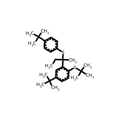 CCC(C)(Sc1ccc(C(C)(C)C)cc1)c1cc(C(C)(C)C)ccc1SC(C)(C)C